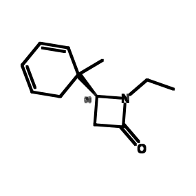 CCN1C(=O)C[C@H]1C1(C)C=CC=CC1